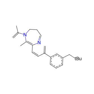 C=C(/C=C\C1=C(C)N(C(=C)C)CCC=N1)c1cccc(CC(C)(C)C)c1